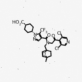 CC12CCC(CN(CC(=O)c3c(Cl)cncc3Cl)C(=O)c3cnn([C@H]4CC[C@H](C(=O)O)CC4)c3C(F)(F)F)(CC1)O2